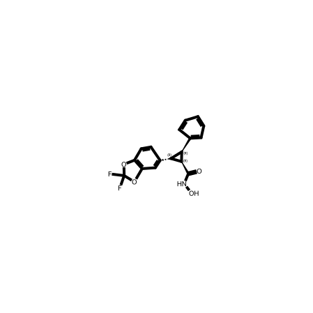 O=C(NO)[C@@H]1[C@H](c2ccccc2)[C@H]1c1ccc2c(c1)OC(F)(F)O2